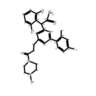 CC(=O)N1CCN(C(=O)CCc2cc(-c3ccc(F)cc3C)nc(C(C(N)=O)c3c(Cl)cccc3Cl)c2)CC1